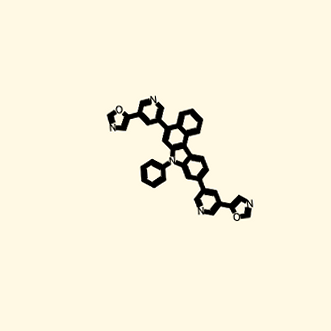 c1ccc(-n2c3cc(-c4cncc(-c5cnco5)c4)ccc3c3c4ccccc4c(-c4cncc(-c5cnco5)c4)cc32)cc1